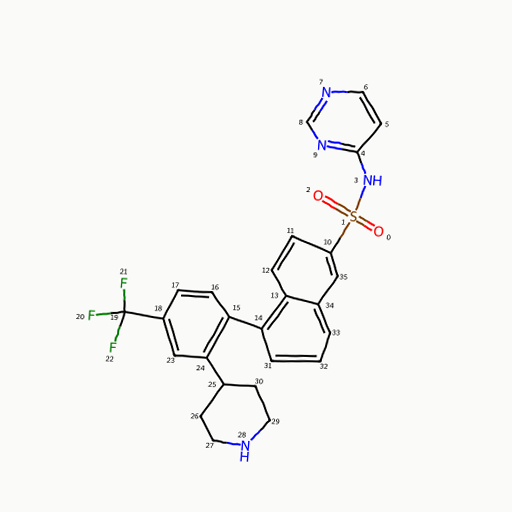 O=S(=O)(Nc1ccncn1)c1ccc2c(-c3ccc(C(F)(F)F)cc3C3CCNCC3)cccc2c1